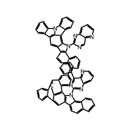 c1ccc(-c2nc(-n3c4c5c6c(cc4c4ccc7ccccc7c43)-c3ccccc3C(CC6)c3cc(-c4cccc6c4ccc4c7cc8c9ccccc9n9c%10ccccc%10c(c7n(-c7ncc%10ncccc%10n7)c64)c89)ccc3-5)nc3cccnc23)cc1